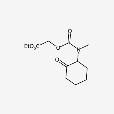 CCOC(=O)COC(=O)N(C)C1CCCCC1=O